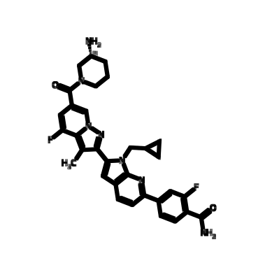 Cc1c(-c2cc3ccc(-c4ccc(C(N)=O)c(F)c4)nc3n2CC2CC2)nn2cc(C(=O)N3CCC[C@@H](N)C3)cc(F)c12